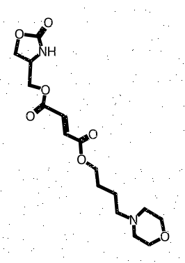 O=C(/C=C/C(=O)OCC1COC(=O)N1)OCCCCN1CCOCC1